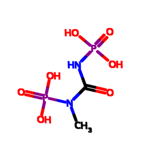 CN(C(=O)NP(=O)(O)O)P(=O)(O)O